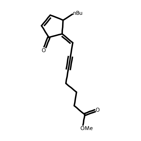 CCCCC1C=CC(=O)C1=CC#CCCCC(=O)OC